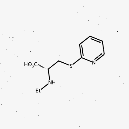 CCN[C@@H](CSc1ccccn1)C(=O)O